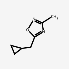 Cc1noc(CC2CC2)n1